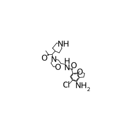 CC(=O)C(C1CCNCC1)N1CCOC(CNC(=O)c2cc(Cl)c(N)c3c2OCC3)C1